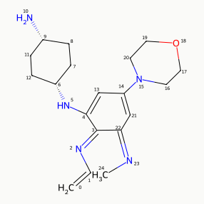 C=C/N=C1/C(N[C@H]2CC[C@@H](N)CC2)=CC(N2CCOCC2)=C/C1=N/C